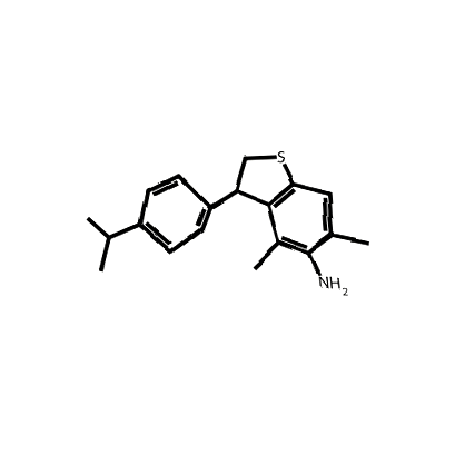 Cc1cc2c(c(C)c1N)C(c1ccc(C(C)C)cc1)CS2